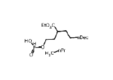 CCCC.CCCCCCCCCCCCC(CCO[PH](=O)O)C(=O)OCC